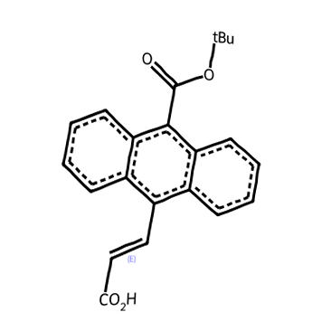 CC(C)(C)OC(=O)c1c2ccccc2c(/C=C/C(=O)O)c2ccccc12